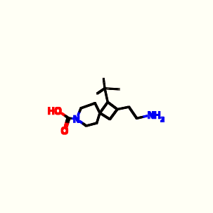 CC(C)(C)C1C(CCN)CC12CCN(C(=O)O)CC2